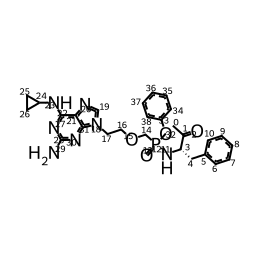 CC(=O)[C@H](Cc1ccccc1)NP(=O)(COCCn1cnc2c(NC3CC3)nc(N)nc21)Oc1ccccc1